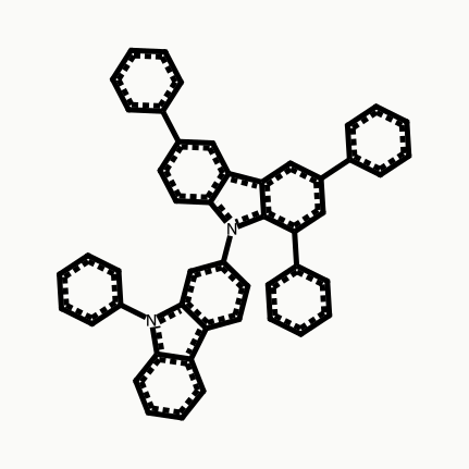 c1ccc(-c2ccc3c(c2)c2cc(-c4ccccc4)cc(-c4ccccc4)c2n3-c2ccc3c4ccccc4n(-c4ccccc4)c3c2)cc1